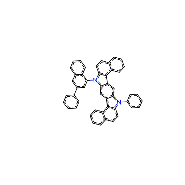 c1ccc(-c2cc(-n3c4cc5c6c7ccccc7ccc6n(-c6ccccc6)c5cc4c4c5ccccc5ccc43)c3ccccc3c2)cc1